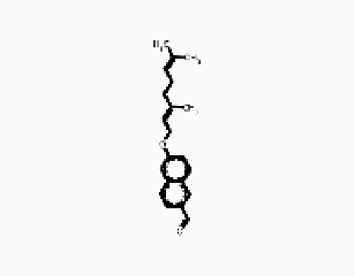 CC(C)=CCC/C(C)=C/COc1ccc2cc([C]=O)ccc2c1